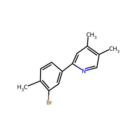 Cc1cnc(-c2ccc(C)c(Br)c2)cc1C